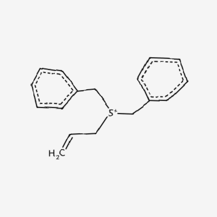 C=CC[S+](Cc1ccccc1)Cc1ccccc1